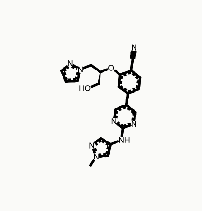 Cn1cc(Nc2ncc(-c3ccc(C#N)c(O[C@@H](CO)Cn4cccn4)c3)cn2)cn1